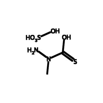 CN(N)C(O)=S.O=S(=O)(O)O